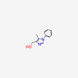 Cc1c(CO)ncn1-c1ccccc1